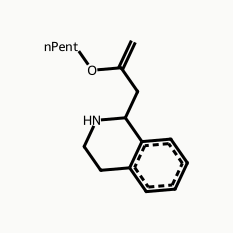 C=C(CC1NCCc2ccccc21)OCCCCC